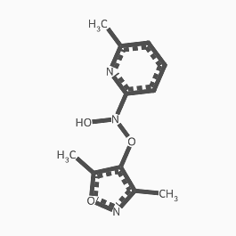 Cc1cccc(N(O)Oc2c(C)noc2C)n1